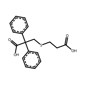 O=C(O)CCSCC(C(=O)O)(c1ccccc1)c1ccccc1